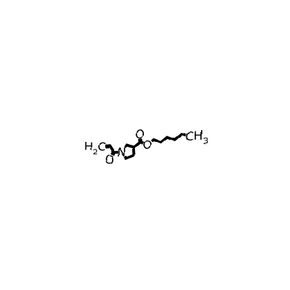 C=CC(=O)N1CCC(C(=O)OCCCCCC)C1